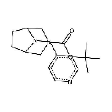 CC(C)(C)OC(=O)N1CC2CCC(C1)N2Cc1ccncc1